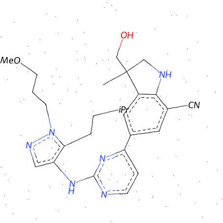 COCCCn1ncc(Nc2nccc(-c3cc(C#N)c4c(c3)C(C)(CO)CN4)n2)c1CCC(C)C